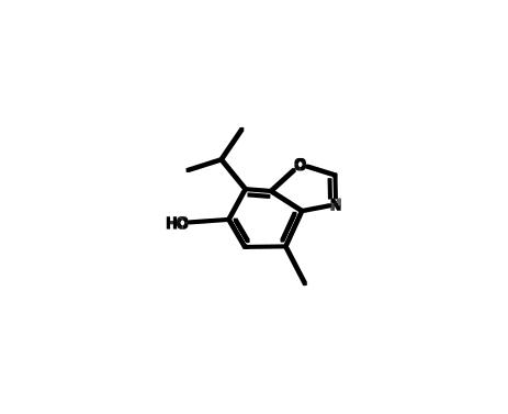 Cc1cc(O)c(C(C)C)c2ocnc12